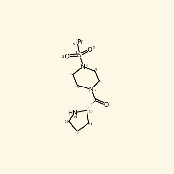 CC(C)S(=O)(=O)N1CCN(C(=O)[C@@H]2CCCN2)CC1